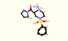 C[C@@H]1CCCN1C(=O)C1CN(S(=O)(=O)c2ccccc2)CCN1N